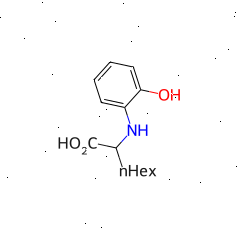 CCCCCCC(Nc1ccccc1O)C(=O)O